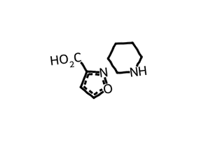 C1CCNCC1.O=C(O)c1ccon1